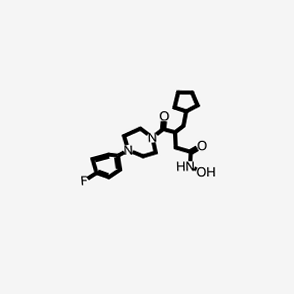 O=C(CC(CC1CCCC1)C(=O)N1CCN(c2ccc(F)cc2)CC1)NO